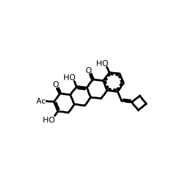 CC(=O)C1=C(O)CC2CC3Cc4c(C=C5CCC5)ccc(O)c4C(=O)C3=C(O)C2C1=O